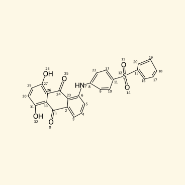 O=C1c2cccc(Nc3ccc(S(=O)(=O)c4ccccc4)cc3)c2C(=O)c2c(O)ccc(O)c21